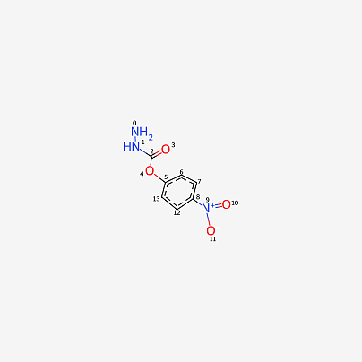 NNC(=O)Oc1ccc([N+](=O)[O-])cc1